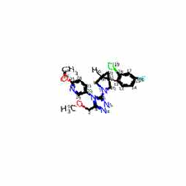 COCc1nnc(N2C[C@@H]3C[C@]3(c3ccc(F)cc3Cl)C2)n1-c1ccc(OC)nc1